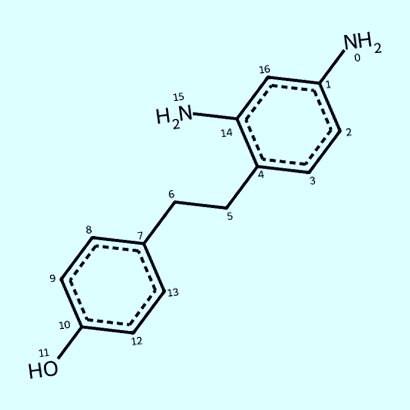 Nc1ccc(CCc2ccc(O)cc2)c(N)c1